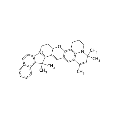 CC1=CC(C)(C)N2CCCc3c4c(cc1c32)C=C1C2=[N+](CCC1O4)c1ccc3ccccc3c1C2(C)C